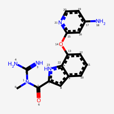 CN(C(=N)N)C(=O)c1cc2cccc(Oc3cc(N)ccn3)c2[nH]1